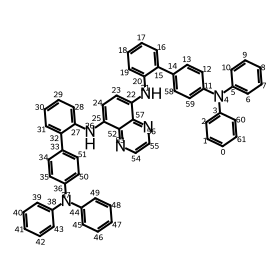 c1ccc(N(c2ccccc2)c2ccc(-c3ccccc3Nc3ccc(Nc4ccccc4-c4ccc(N(c5ccccc5)c5ccccc5)cc4)c4nccnc34)cc2)cc1